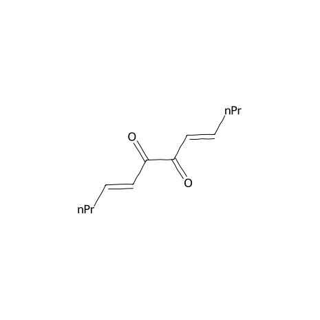 CCCC=CC(=O)C(=O)C=CCCC